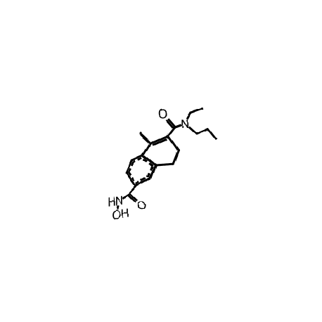 CCCN(CC)C(=O)C1=C(C)c2ccc(C(=O)NO)cc2CC1